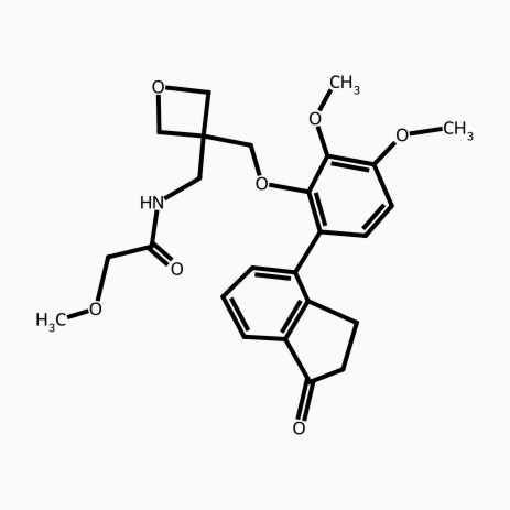 COCC(=O)NCC1(COc2c(-c3cccc4c3CCC4=O)ccc(OC)c2OC)COC1